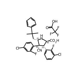 CC(C)(C[C@@H]1N[C@@H](C(=O)O)[C@H](c2cccc(Cl)c2F)[C@@]1(C#N)c1ccc(Cl)cc1F)c1ccccc1.O=C(O)C(F)(F)F